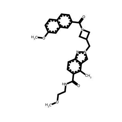 COCCNC(=O)c1ccc2nn(CC3CN(C(=O)c4ccc5ccc(OC)cc5c4)C3)cc2c1C